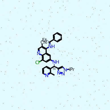 CC[C@@H](Nc1c(C#N)cnc2c(Cl)cc(N[C@H](c3cn(C(C)C)nn3)c3cccnc3C)cc12)c1ccccc1